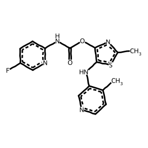 Cc1nc(OC(=O)Nc2ccc(F)cn2)c(Nc2cnccc2C)s1